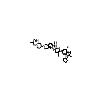 Cc1nc2c(F)cc(-c3nc(Nc4ccc5c(n4)CCN(C4CCN(CC(C)O)CC4)C5)ncc3F)cc2n1C1CCCC1